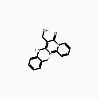 O=c1c(CO)c(Nc2ccccc2Cl)nc2ccccn12